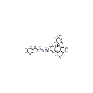 Cc1ccc(N(c2ccc(/C=C/C=C/C=C/c3ccccc3)cc2)c2cccc3c2CCCC3)cc1